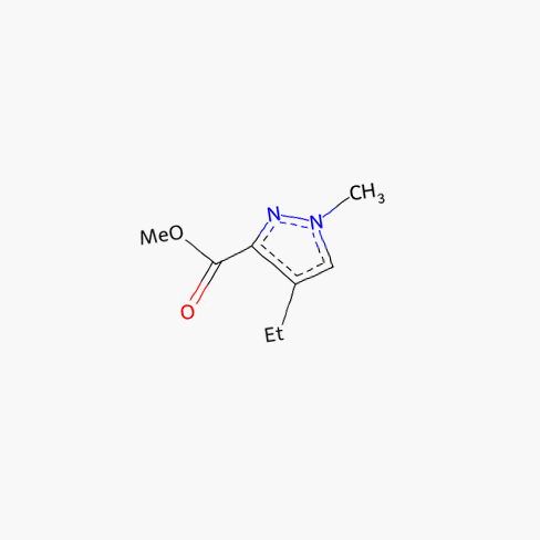 CCc1cn(C)nc1C(=O)OC